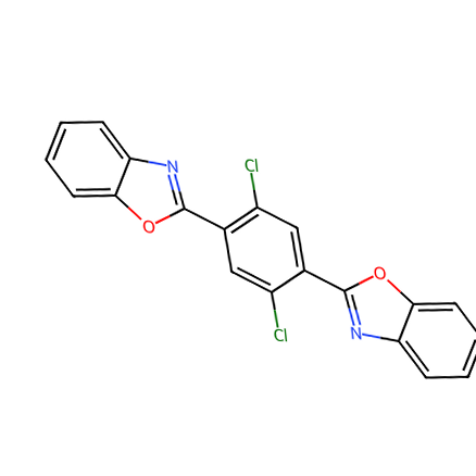 Clc1cc(-c2nc3ccccc3o2)c(Cl)cc1-c1nc2ccccc2o1